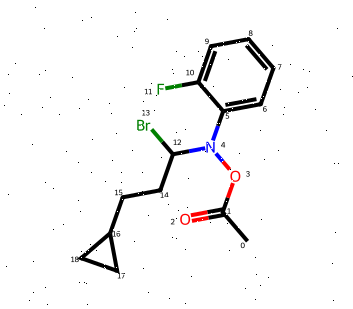 CC(=O)ON(c1ccccc1F)C(Br)CCC1CC1